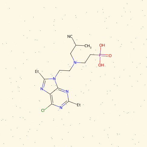 CCc1nc(Cl)c2nc(CC)n(CCN(CCP(=O)(O)O)CC(C)C#N)c2n1